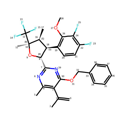 C=C(C)c1c(C)nc([C@@H]2O[C@@](C)(C(F)(F)F)[C@@H](C)[C@H]2c2ccc(F)c(F)c2OC)nc1OCc1ccccc1